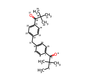 CCC(C)(C)C(=O)c1ccc(Cc2ccc(C(=O)C(C)(C)C)cc2)cc1